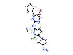 N.NC1CCN(c2ccc(Nc3ncc(Br)c(C4CCCC4)n3)nc2Cl)C1